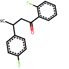 N#CC(CC(=O)c1ccccc1F)c1ccc(F)cc1